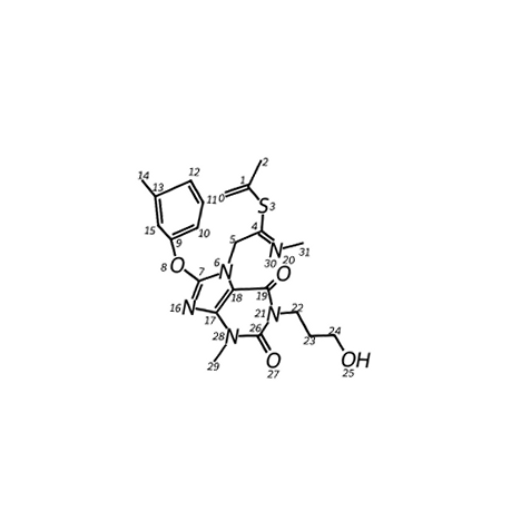 C=C(C)S/C(Cn1c(Oc2cccc(C)c2)nc2c1c(=O)n(CCCO)c(=O)n2C)=N\C